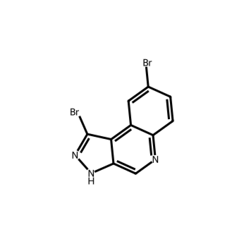 Brc1ccc2ncc3[nH]nc(Br)c3c2c1